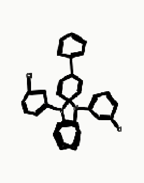 Clc1cccc(N(c2ccccc2)C2(N(c3ccccc3)c3cccc(Cl)c3)C=CC(c3ccccc3)C=C2)c1